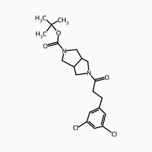 CC(C)(C)OC(=O)N1CC2CN(C(=O)CCc3cc(Cl)cc(Cl)c3)CC2C1